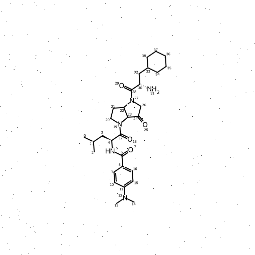 CC(C)C[C@H](NC(=O)c1ccc(N(C)C)cc1)C(=O)N1CCC2C1C(=O)CN2C(=O)[C@@H](N)CC1CCCCC1